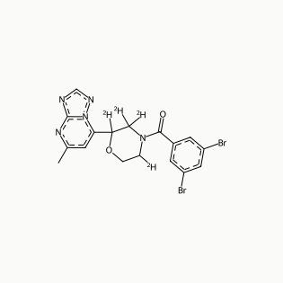 [2H]C1COC([2H])(c2cc(C)nc3ncnn23)C([2H])([2H])N1C(=O)c1cc(Br)cc(Br)c1